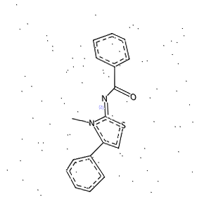 Cn1c(-c2ccccc2)cs/c1=N\C(=O)c1ccccc1